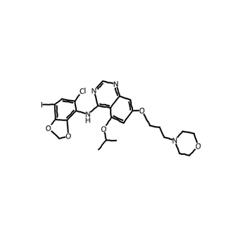 CC(C)Oc1cc(OCCCN2CCOCC2)cc2ncnc(Nc3c(Cl)cc(I)c4c3OCO4)c12